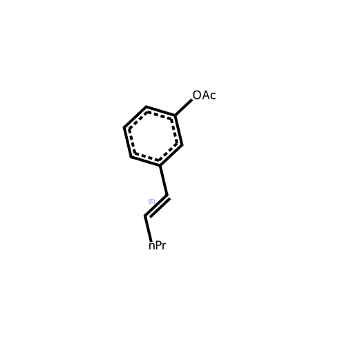 CCC/C=C/c1cccc(OC(C)=O)c1